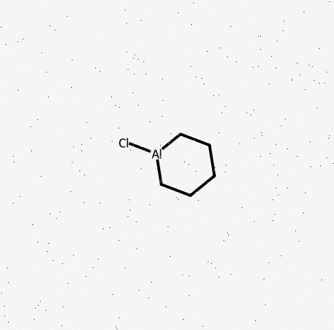 [Cl][Al]1[CH2]CCC[CH2]1